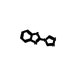 c1ccc2sc(-n3cnnc3)nc2c1